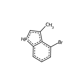 Cc1c[pH]c2cccc(Br)c12